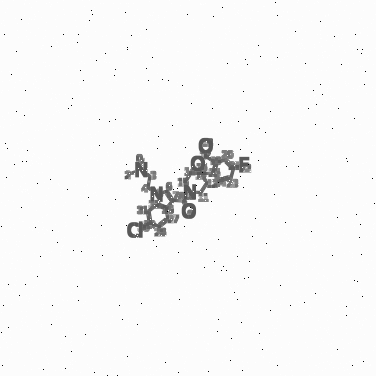 CN(C)CCn1cc(C(=O)N2CCC3(CC2)OC(=O)c2cc(F)ccc23)c2ccc(Cl)cc21